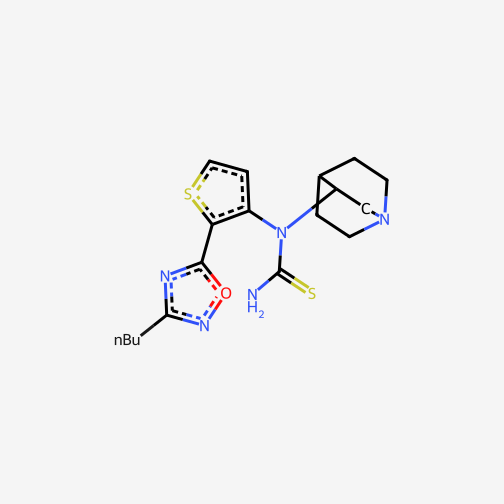 CCCCc1noc(-c2sccc2N(C(N)=S)C2CN3CCC2CC3)n1